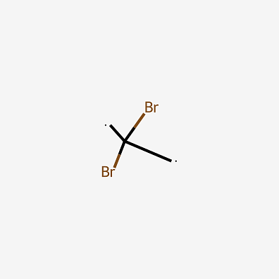 [CH2]C([CH2])(Br)Br